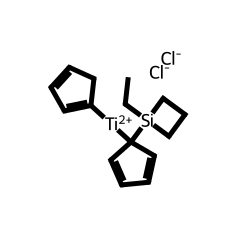 CC[Si]1([C]2([Ti+2][C]3=CC=CC3)C=CC=C2)CCC1.[Cl-].[Cl-]